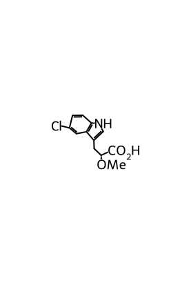 CO[C@@H](Cc1c[nH]c2ccc(Cl)cc12)C(=O)O